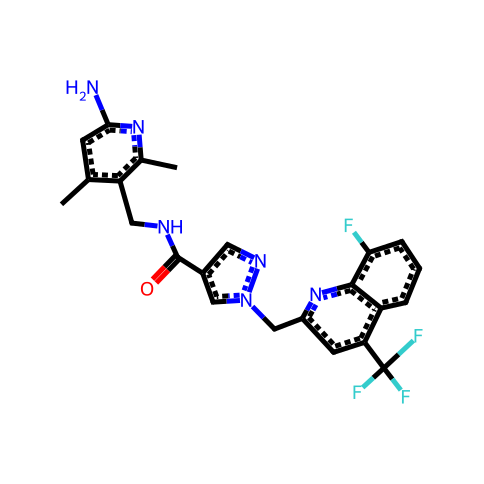 Cc1cc(N)nc(C)c1CNC(=O)c1cnn(Cc2cc(C(F)(F)F)c3cccc(F)c3n2)c1